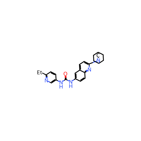 CCc1ccc(NC(=O)Nc2ccc3nc(N4CC5CCC4CC5)ccc3c2)cn1